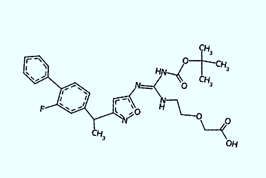 CC(c1ccc(-c2ccccc2)c(F)c1)c1cc(/N=C(\NCCOCC(=O)O)NC(=O)OC(C)(C)C)on1